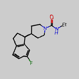 CCNC(=O)N1CCC(C2CCc3ccc(F)cc32)CC1